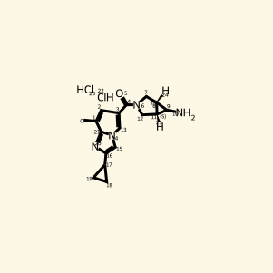 Cc1cc(C(=O)N2C[C@@H]3C(N)[C@@H]3C2)cn2cc(C3CC3)nc12.Cl.Cl